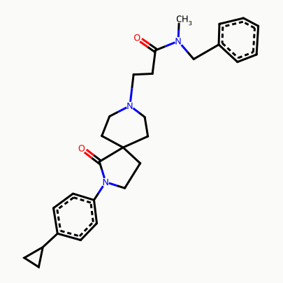 CN(Cc1ccccc1)C(=O)CCN1CCC2(CC1)CCN(c1ccc(C3CC3)cc1)C2=O